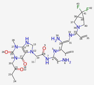 C=CC(=N\C(=C/N)NC(=O)[C@H](C)N1CNc2c1c(=O)n(CC(=O)CC)c(=O)n2C)/C(N)=C/N=C(\C=C)N1CC2C(C1)C2(F)F